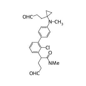 CNC(=O)C(CCC=O)c1cccc(-c2ccc(N(C)C3(CCC=O)CC3)cc2)c1Cl